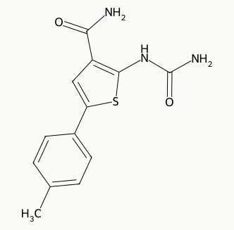 Cc1ccc(-c2cc(C(N)=O)c(NC(N)=O)s2)cc1